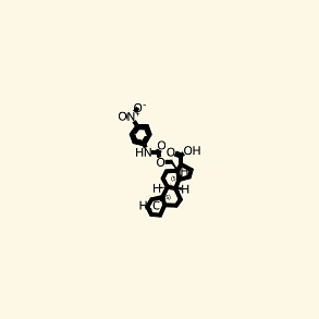 C[C@]12CCCCC1CC[C@H]1[C@@H]3CCC(C(=O)O)[C@@]3(COC(=O)Nc3ccc([N+](=O)[O-])cc3)CC[C@@H]12